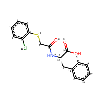 O=C(CSc1ccccc1Cl)N[C@@H](Cc1ccccc1)C(=O)O